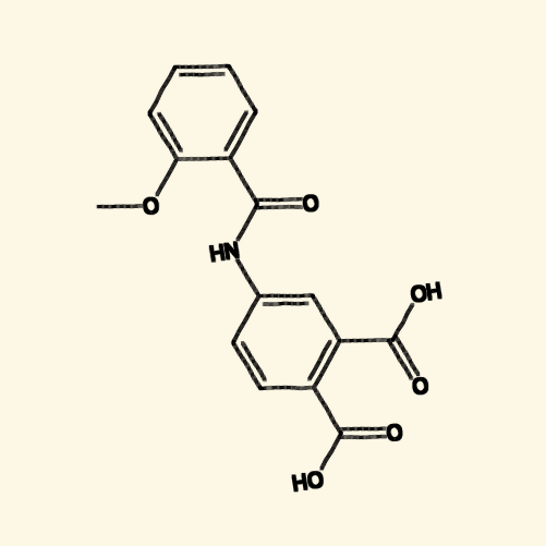 COc1ccccc1C(=O)Nc1ccc(C(=O)O)c(C(=O)O)c1